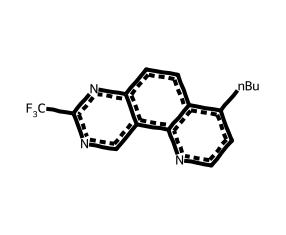 CCCCc1ccnc2c1ccc1nc(C(F)(F)F)ncc12